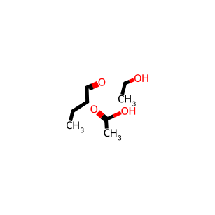 CC(=O)O.CCCC=O.CCO